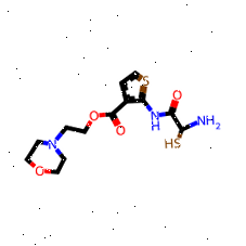 NC(S)C(=O)Nc1sccc1C(=O)OCCN1CCOCC1